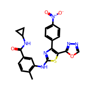 Cc1ccc(C(=O)NC2CC2)cc1Nc1nc(-c2ccc([N+](=O)[O-])cc2)c(-c2nnco2)s1